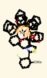 COc1cccc(F)c1-c1nc(C(=O)[O][Pd]([PH](c2ccccc2)(c2ccccc2)c2ccccc2)([PH](c2ccccc2)(c2ccccc2)c2ccccc2)([PH](c2ccccc2)(c2ccccc2)c2ccccc2)[PH](c2ccccc2)(c2ccccc2)c2ccccc2)cs1